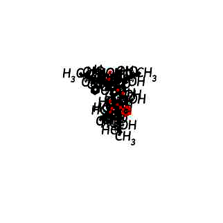 CC[C@@H](O)[C@H](O)[C@@H](O)C(=O)NO[C@@]1(Cc2ccccc2)O[C@H](CO)[C@@H](O)[C@H](O)[C@@]1(O)N(C(=O)c1cccc(C(=O)N([C@]2(O)[C@@H](O)[C@H](O)[C@@H](CO)O[C@]2(Cc2ccccc2)ONC(=O)[C@H](O)[C@@H](O)[C@H](O)CC)[C@]2(O)[C@@H](O)[C@H](O)[C@@H](CO)O[C@]2(Cc2ccccc2)ONC(=O)[C@H](O)[C@@H](O)[C@H](O)CC)c1)[C@]1(O)[C@@H](O)[C@H](O)[C@@H](CO)O[C@]1(Cc1ccccc1)ONC(=O)[C@H](O)[C@@H](O)[C@H](O)CC